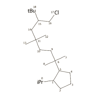 CC(C)C1CCCC1C(C)(C)CCC(C)(C)CC(CCl)C(C)(C)C